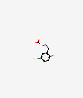 CCc1ccc(Br)cc1C[C@H](NC(=O)OC(C)(C)C)C(=O)O